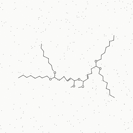 CCCCCCCCOC(CCC=CC(OC)OC(C=CCCC(OCCCCCCCC)OCCCCCCCC)OC)OCCCCCCCC